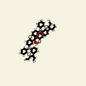 C=Cc1oc2c(B(c3ccccc3)c3ccc4c(c3)C3(c5ccccc5Oc5ccccc53)c3cc(B(c5ccccc5)c5cccc6c(/C=C\C)c(C=C)oc56)ccc3O4)cccc2c1C=C